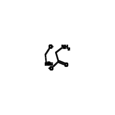 CCCCC[O].NCC([O])=O